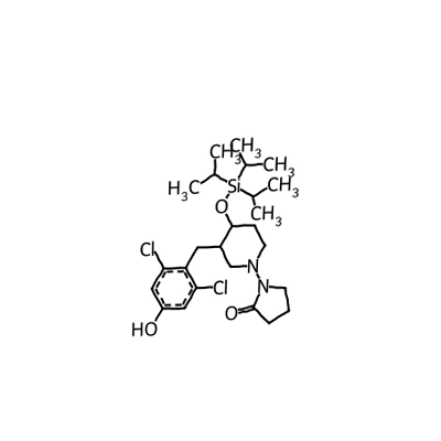 CC(C)[Si](OC1CCN(N2CCCC2=O)CC1Cc1c(Cl)cc(O)cc1Cl)(C(C)C)C(C)C